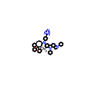 C=C1/C=C(N(c2ccc(-c3ncncn3)cc2)c2ccc3c(c2)c2ccc4c(ccn4-c4ccccc4)c2n3-c2ccccc2)\C=C/Cc2ccccc2C1(c1ccccc1)c1ccccc1